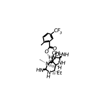 CC[C@@H]1NC(=N)N2[C@@H](C)[C@H](OC(=O)c3cc(C(F)(F)F)ccc3C)C(O)(O)[C@@]23NC(=N)N[C@@H]13